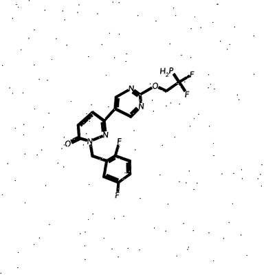 O=c1ccc(-c2cnc(OCC(F)(F)P)nc2)nn1Cc1cc(F)ccc1F